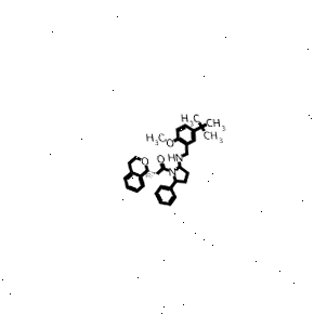 COc1ccc(C(C)(C)C)cc1CNC1CCC(c2ccccc2)N1C(=O)C[C@H]1OCCc2ccccc21